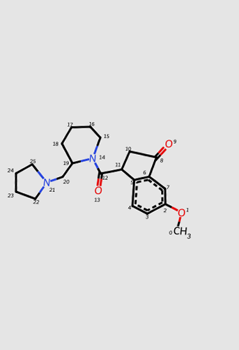 COc1ccc2c(c1)C(=O)CC2C(=O)N1CCCCC1CN1CCCC1